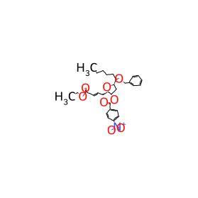 CCCCCC(OCc1ccccc1)[C@H]1C[C@H](OC(=O)c2ccc([N+](=O)[O-])cc2)[C@@H](C/C=C/C(=O)OCC)O1